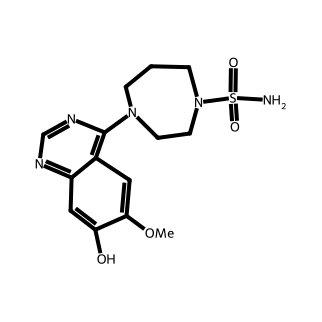 COc1cc2c(N3CCCN(S(N)(=O)=O)CC3)ncnc2cc1O